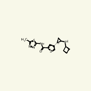 Cc1nnc(NC(=O)c2cc([C@@H]3CC3NC3CCC3)cs2)s1